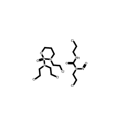 O=NN(CCCl)C(=O)NCCCl.O=P1(N(CCCl)CCCl)OCCCN1CCCl